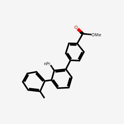 CCCc1c(-c2ccc(C(=O)OC)cc2)cccc1-c1ccccc1C